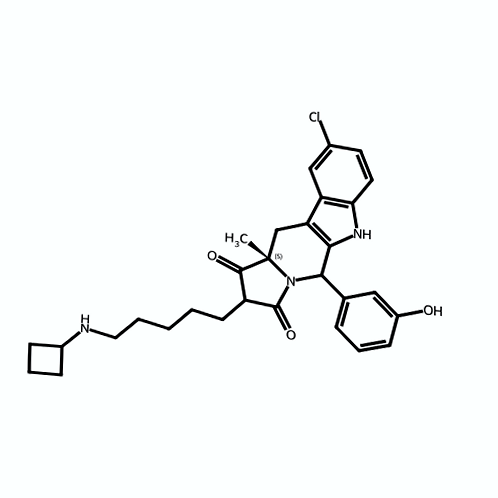 C[C@@]12Cc3c([nH]c4ccc(Cl)cc34)C(c3cccc(O)c3)N1C(=O)C(CCCCCNC1CCC1)C2=O